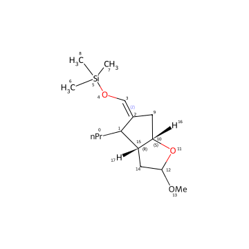 CCCC1/C(=C\O[Si](C)(C)C)C[C@@H]2OC(OC)C[C@H]12